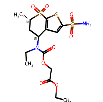 CCOC(=O)COC(=O)N(CC)[C@H]1C[C@H](C)S(=O)(=O)c2sc(S(N)(=O)=O)cc21